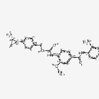 Nc1ccccc1NC(=O)c1ccc(NC(=O)OCc2ccc([C@H]3C[C@@H]3N)cc2)c(OC(F)(F)F)c1